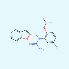 CC(C)Oc1ccc(Cl)cc1N(Cc1cc2ccccc2o1)C(=N)N